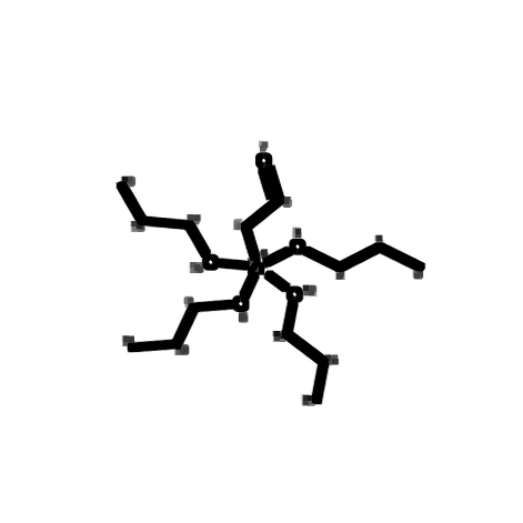 CCC[O][Zr]([CH2]C=O)([O]CCC)([O]CCC)[O]CCC